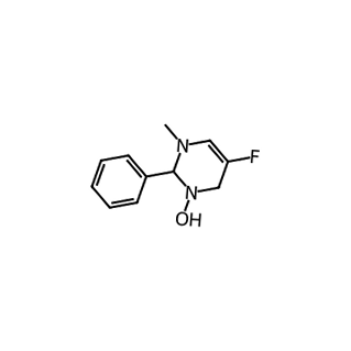 CN1C=C(F)CN(O)C1c1ccccc1